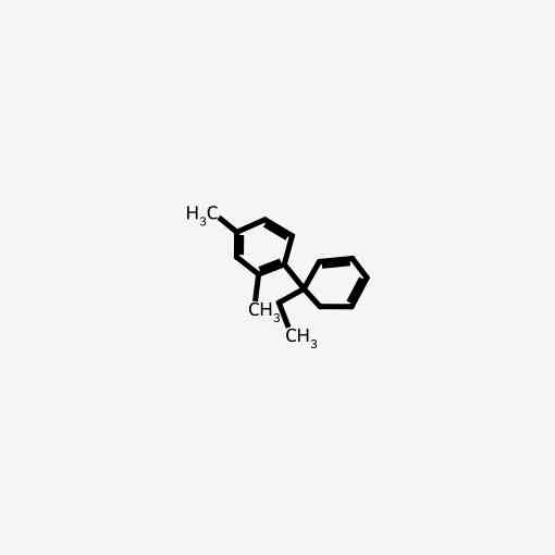 CCC1(c2ccc(C)cc2C)C=CC=CC1